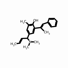 CC=CC(c1cc(C)c(O)c(C(C)=Cc2ccccc2)c1)N(C)C